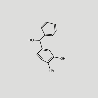 CCCc1ccc(C(O)c2ccccc2)cc1O